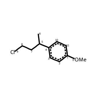 COc1ccc(C(C)CCCl)cc1